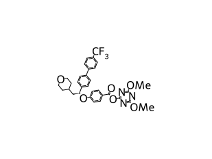 COc1nc(OC)nc(OC(=O)c2ccc(O[C@@H](CC3CCOCC3)c3ccc(-c4ccc(C(F)(F)F)cc4)cc3)cc2)n1